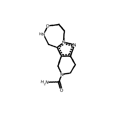 NC(=O)N1CCc2nn3c(c2C1)CNOCC3